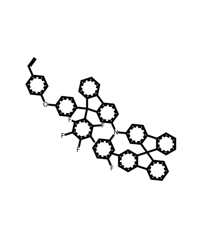 C=Cc1ccc(Oc2ccc(C3(c4c(F)c(F)c(F)c(F)c4F)c4ccccc4-c4ccc(N(c5cccc(F)c5)c5ccc6c(c5)C5(c7ccccc7-c7ccc(C)cc75)c5ccccc5-6)cc43)cc2)cc1